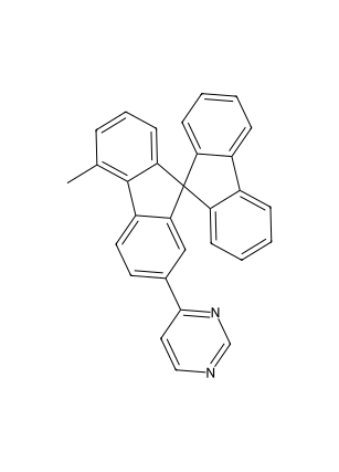 Cc1cccc2c1-c1ccc(-c3ccncn3)cc1C21c2ccccc2-c2ccccc21